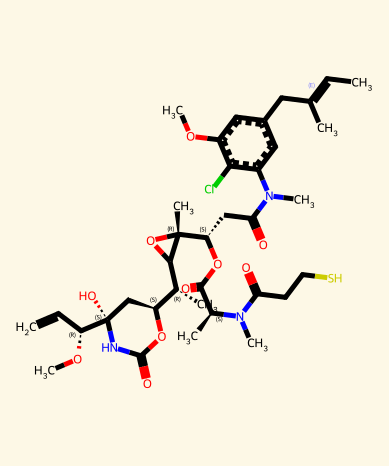 C=C[C@@H](OC)[C@@]1(O)C[C@@H]([C@@H](C)C2O[C@]2(C)[C@H](CC(=O)N(C)c2cc(C/C(C)=C/C)cc(OC)c2Cl)OC(=O)[C@H](C)N(C)C(=O)CCS)OC(=O)N1